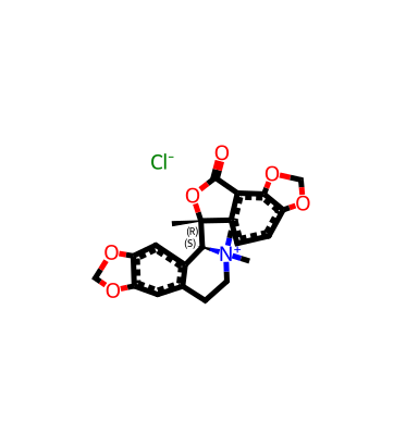 C[C@@]1([C@@H]2c3cc4c(cc3CC[N+]2(C)C)OCO4)OC(=O)c2c1ccc1c2OCO1.[Cl-]